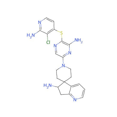 Nc1nc(N2CCC3(CC2)c2cccnc2CC3N)cnc1Sc1ccnc(N)c1Cl